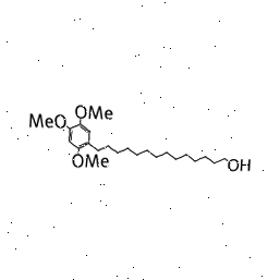 COc1cc(OC)c(OC)cc1CCCCCCCCCCCCCCO